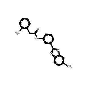 Cc1ccc2oc(-c3cccc(NC(=O)Cc4ccccc4C)c3)nc2c1